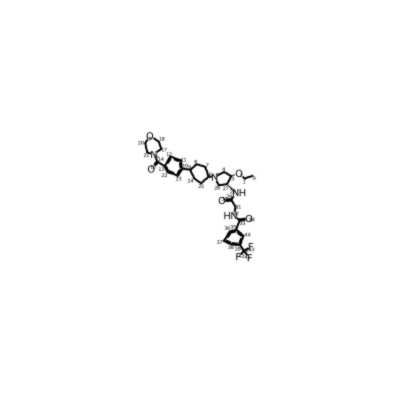 CCO[C@H]1CN(C2CCC(c3ccc(C(=O)N4CCOCC4)cc3)CC2)C[C@@H]1NC(=O)CNC(=O)c1cccc(C(F)(F)F)c1